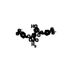 NC(=O)C1CC([C@@H]2C[C@@H](O)CN2C(=O)OCc2ccc([N+](=O)[O-])cc2)CN1C(=O)OCc1ccc([N+](=O)[O-])cc1